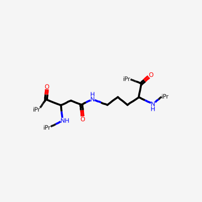 CC(C)NC(CCCNC(=O)CC(NC(C)C)C(=O)C(C)C)C(=O)C(C)C